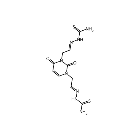 NC(=S)N/N=C/Cn1ccc(=O)n(C/C=N/NC(N)=S)c1=O